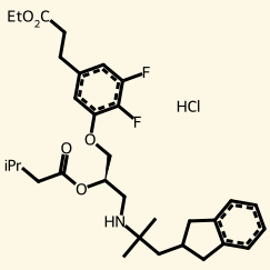 CCOC(=O)CCc1cc(F)c(F)c(OC[C@@H](CNC(C)(C)CC2Cc3ccccc3C2)OC(=O)CC(C)C)c1.Cl